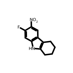 O=[N+]([O-])c1cc2c3c([nH]c2cc1F)CCCC3